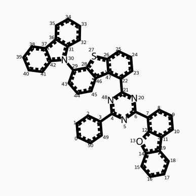 c1ccc(-c2nc(-c3cccc4c3oc3ccccc34)nc(-c3cccc4sc5c(-n6c7ccccc7c7ccccc76)cccc5c34)n2)cc1